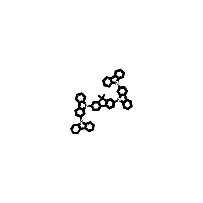 CC1(C)c2cc(-n3c4ccccc4c4ccc(-n5c6c(c7ccccc75)CCC=C6)cc43)ccc2-c2ccc(-n3c4ccccc4c4ccc(-n5c6ccccc6c6ccccc65)cc43)cc21